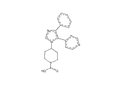 O=C(O)N1CCC(n2cnc(-c3ccccc3)c2-c2ccncn2)CC1